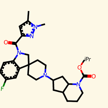 Cc1cc(C(=O)N2CC3(CCN(C4CC5CCCN(C(=O)OC(C)C)C5C4)CC3)c3cc(F)ccc32)nn1C